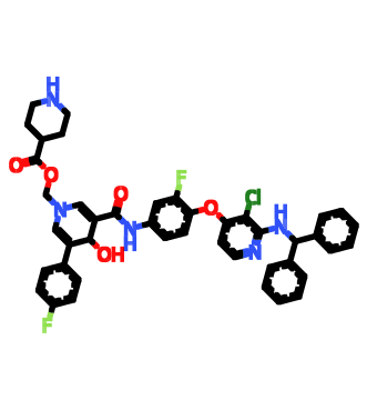 O=C(Nc1ccc(Oc2ccnc(NC(c3ccccc3)c3ccccc3)c2Cl)c(F)c1)C1=CN(COC(=O)C2CCNCC2)C=C(c2ccc(F)cc2)C1O